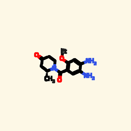 CCOc1cc(N)c(N)cc1C(=O)N1CCC(=O)C[C@H]1C